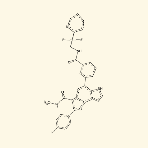 CNC(=O)c1c(-c2ccc(F)cc2)oc2c1cc(-c1cccc(C(=O)NCC(F)(F)c3ccccn3)c1)c1[nH]ccc12